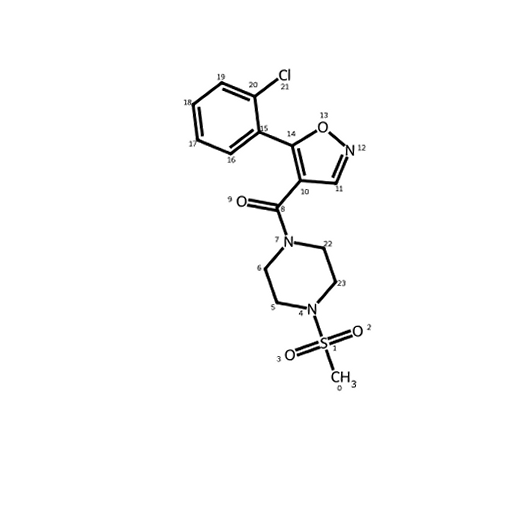 CS(=O)(=O)N1CCN(C(=O)c2cnoc2-c2ccccc2Cl)CC1